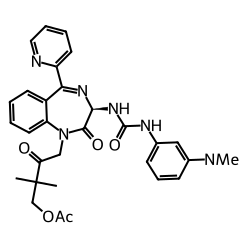 CNc1cccc(NC(=O)N[C@@H]2N=C(c3ccccn3)c3ccccc3N(CC(=O)C(C)(C)COC(C)=O)C2=O)c1